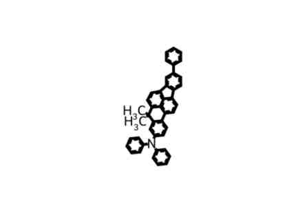 CC1(C)c2cc(N(c3ccccc3)c3ccccc3)ccc2-c2ccc3c4c(ccc1c24)-c1cc(-c2ccccc2)ccc1-3